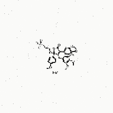 COc1ccc(C2(OCCCS(=O)(=O)[O-])OC(=O)C(c3ccc4c(c3)OCO4)=C2Cc2cc(OC)c(OC)c(OC)c2)cc1.[Na+]